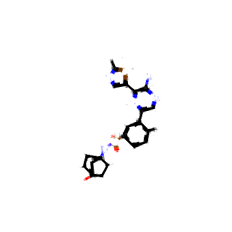 Cc1ncc(-c2nc(-c3cc(S(=O)(=O)NC45CCC(O)(CC4)C5)ccc3C)cnc2N)s1